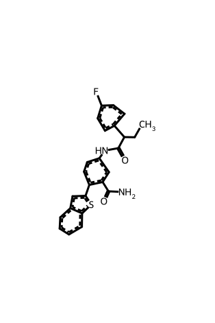 CCC(C(=O)Nc1ccc(-c2cc3ccccc3s2)c(C(N)=O)c1)c1ccc(F)cc1